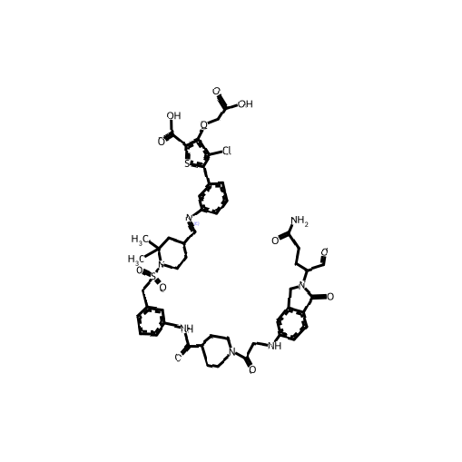 CC1(C)CC(/C=N/c2cccc(-c3sc(C(=O)O)c(OCC(=O)O)c3Cl)c2)CCN1S(=O)(=O)Cc1cccc(NC(=O)C2CCN(C(=O)CNc3ccc4c(c3)CN(C(C=O)CCC(N)=O)C4=O)CC2)c1